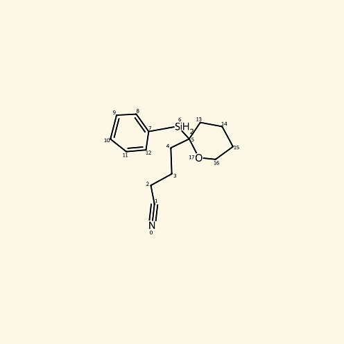 N#CCCCC1([SiH2]c2ccccc2)CCCCO1